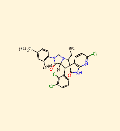 COc1cc(C(=O)O)ccc1N1CN2[C@@H](CC(C)(C)C)[C@@]3(C(=O)Nc4nc(Cl)ccc43)[C@@H](c3cccc(Cl)c3F)[C@@H]2C1=O